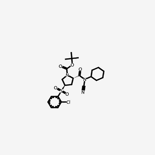 CC(C)(C)OC(=O)N1C[C@H](S(=O)(=O)c2ccccc2Cl)C[C@H]1C(=O)N(C#N)C1CCCCC1